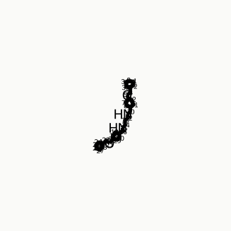 c1ccc(COc2ccc(CNCCCNCc3ccc(OCc4ccccc4)cc3)cc2)cc1